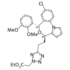 CCOC(=O)Cn1nnc(CC[C@H]2O[C@H](c3cccc(OC)c3OC)c3cc(Cl)ccc3-n3cccc32)n1